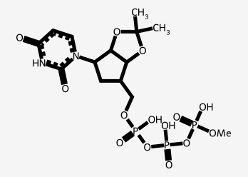 COP(=O)(O)OP(=O)(O)OP(=O)(O)OCC1CC(n2ccc(=O)[nH]c2=O)C2OC(C)(C)OC12